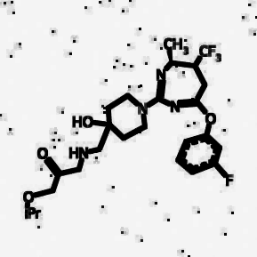 CC(C)OCC(=O)CNCC1(O)CCN(C2=N[C@@H](C)C(C(F)(F)F)CC(Oc3cccc(F)c3)=N2)CC1